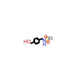 CCS(=O)(=O)NCc1ccc(CO)cc1